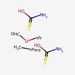 CCCCCC.CCCOC=O.NC(O)=S.NC(O)=S